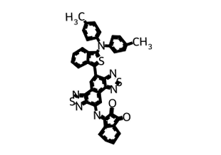 Cc1ccc(N(c2ccc(C)cc2)c2sc(-c3cc4c(cc(/N=c5\c(=O)c(=O)c6ccccc56)c5nsnc54)c4nsnc34)c3ccccc23)cc1